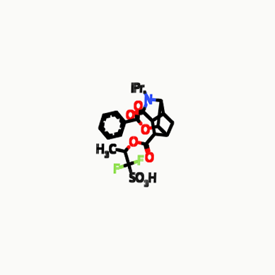 CC(C)N1C(=O)C2C3CC(C(OC(=O)c4ccccc4)C31)C2C(=O)OC(C)C(F)(F)S(=O)(=O)O